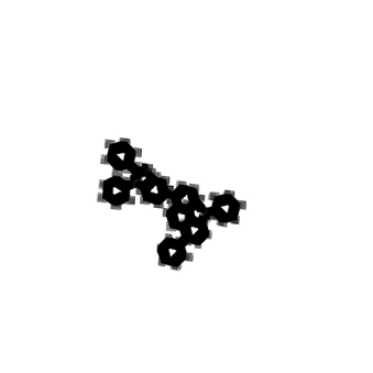 c1ccc(-c2ccc3c4c2ccc2c(-c5ccc6c(c5)nc(-c5ccccc5)n6-c5ccccc5)ccc(c24)n3-c2ccccc2)cc1